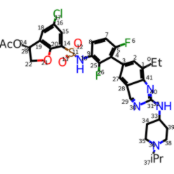 CCc1cc(-c2c(F)ccc(NS(=O)(=O)c3cc(Cl)cc4c3OC[C@H]4OC(C)=O)c2F)cc2cnc(NC3CCN(C(C)C)CC3)nc12